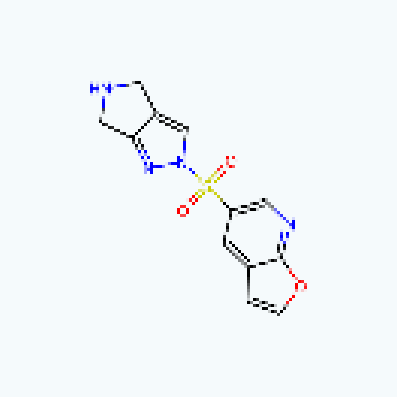 O=S(=O)(c1cnc2occc2c1)n1cc2c(n1)CNC2